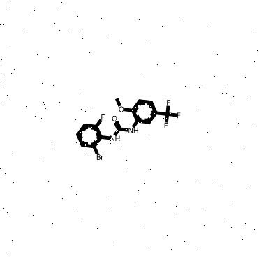 COc1ccc(C(F)(F)F)cc1NC(=O)Nc1c(F)cccc1Br